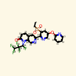 CCS(=O)(=O)c1cc(Oc2ccccn2)cnc1-c1cc2ccc(=O)n(C(F)C(F)(F)C(F)F)c2cn1